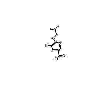 CC(C)COc1ncc(C(=O)O)cc1Br